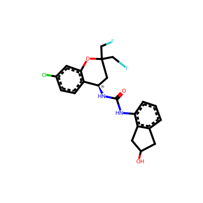 O=C(Nc1cccc2c1CC(O)C2)N[C@@H]1CC(CF)(CF)Oc2cc(Cl)ccc21